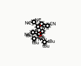 CC(C)(C)c1cc(-c2nc(-c3cc(C(C)(C)C)cc(C(C)(C)C)c3)nc(-c3ccc(-n4c5ccc(C#N)cc5c5cc(C#N)ccc54)c(-c4ccc(-c5cccc(C#N)c5)cc4-n4c5ccc(C#N)cc5c5cc(C#N)ccc54)c3)n2)cc(C(C)(C)C)c1